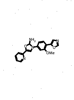 COc1cc(N2C=C(c3ccccn3)OC2N)ccc1-c1cnco1